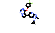 Cc1nc2ncc(-c3ccn4ncnc(OC5CCC(F)(F)C5)c34)cc2n1C1CC1